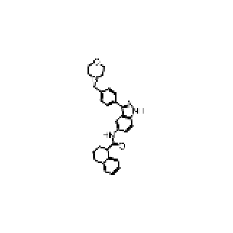 O=C(Nc1ccc2[nH]nc(-c3ccc(CN4CCOCC4)cc3)c2c1)C1CCCc2ccccc21